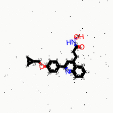 O=C(CCc1cc(-c2ccc(OCC3CC3)cc2)nc2ccccc12)NO